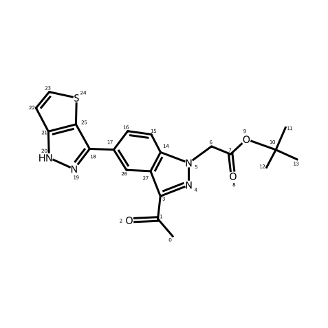 CC(=O)c1nn(CC(=O)OC(C)(C)C)c2ccc(-c3n[nH]c4ccsc34)cc12